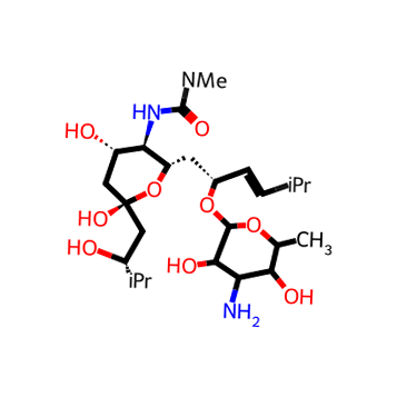 CNC(=O)N[C@H]1[C@H](C[C@H](/C=C/C(C)C)OC2OC(C)C(O)C(N)C2O)O[C@](O)(C[C@@H](O)C(C)C)C[C@@H]1O